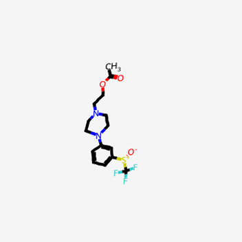 CC(=O)OCCN1CCN(c2cccc([S+]([O-])C(F)(F)F)c2)CC1